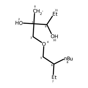 [CH2]C(O)(COCC(CC)CCCC)C(O)CC